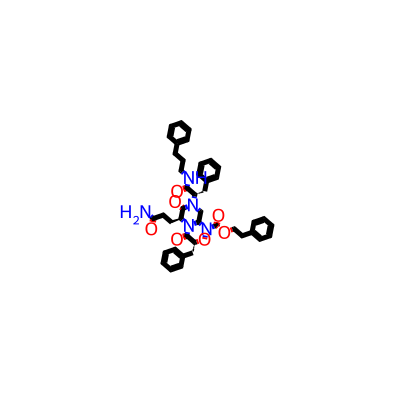 NC(=O)CC[C@H]1C(=O)N([C@@H](Cc2ccccc2)C(=O)NCCCc2ccccc2)CC2N(C(=O)OCCc3ccccc3)O[C@H](Cc3ccccc3)C(=O)N21